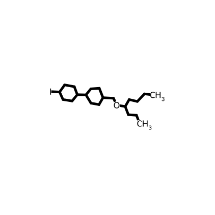 CCCCC(CCC)OCC1CCC(C2CCC(I)CC2)CC1